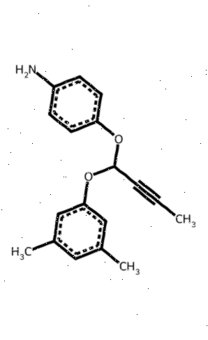 CC#CC(Oc1ccc(N)cc1)Oc1cc(C)cc(C)c1